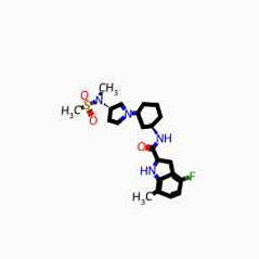 Cc1ccc(F)c2c1NC(C(=O)N[C@@H]1CCCC(N3CC[C@H](N(C)S(C)(=O)=O)C3)C1)C2